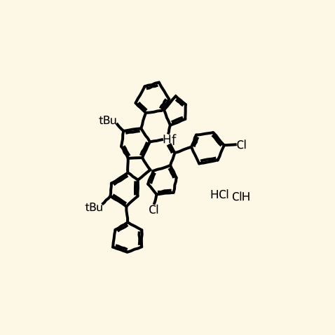 CC(C)(C)c1cc2c(cc1-c1ccccc1)Cc1c-2cc(C(C)(C)C)c(-c2ccccc2)[c]1[Hf]([C]1=CC=CC1)=[C](c1ccc(Cl)cc1)c1ccc(Cl)cc1.Cl.Cl